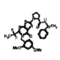 COc1ccc(Cn2c(C(C)(F)F)nc3sc(N4CCCC4C(=O)N[C@H](C)c4ccccc4)nc3c2=O)c(OC)c1